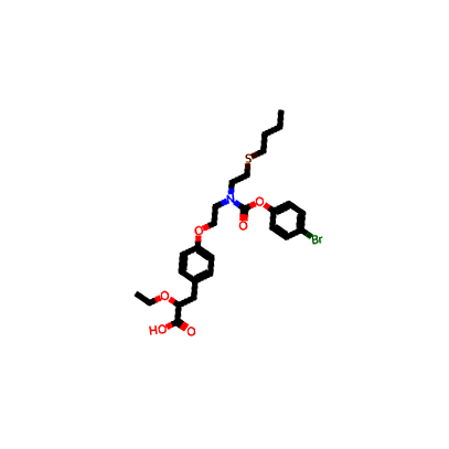 CCCCSCCN(CCOc1ccc(CC(OCC)C(=O)O)cc1)C(=O)Oc1ccc(Br)cc1